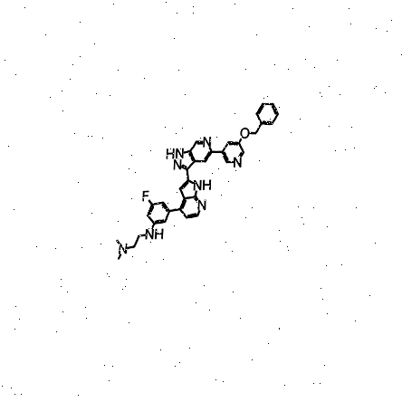 CN(C)CCNc1cc(F)cc(-c2ccnc3[nH]c(-c4n[nH]c5cnc(-c6cncc(OCc7ccccc7)c6)cc45)cc23)c1